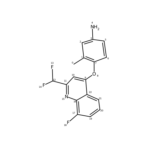 Cc1cc(N)ccc1Oc1cc(C(F)F)nc2c(F)cccc12